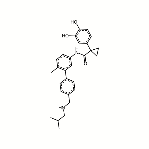 Cc1ccc(NC(=O)C2(c3ccc(O)c(O)c3)CC2)cc1-c1ccc(CNCC(C)C)cc1